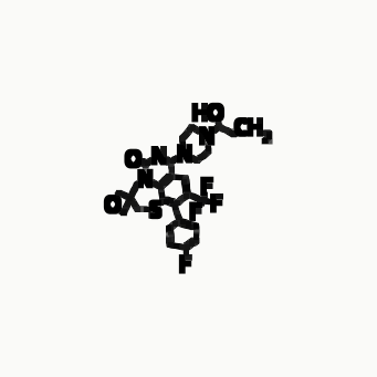 C=CC(O)N1CCN(c2nc(=O)n3c4c(c(-c5ccc(F)cc5)c(C(F)(F)F)cc24)SCC2(COC2)C3)CC1